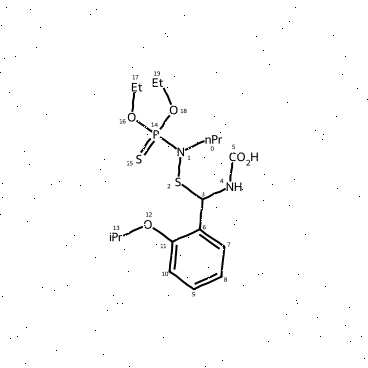 CCCN(SC(NC(=O)O)c1ccccc1OC(C)C)P(=S)(OCC)OCC